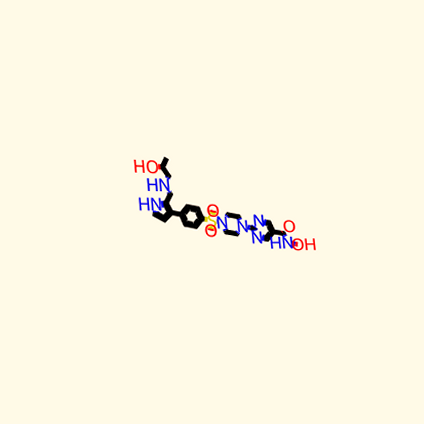 CC(O)CNCc1[nH]ccc1-c1ccc(S(=O)(=O)N2CCN(c3ncc(C(=O)NO)cn3)CC2)cc1